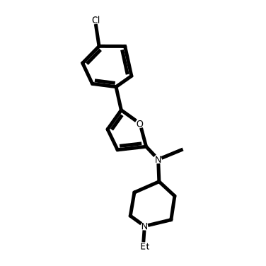 CCN1CCC(N(C)c2ccc(-c3ccc(Cl)cc3)o2)CC1